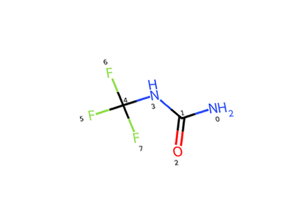 NC(=O)NC(F)(F)F